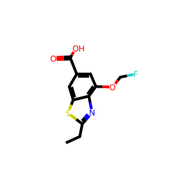 CCc1nc2c(OCF)cc(C(=O)O)cc2s1